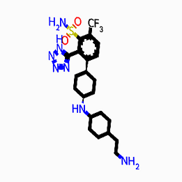 NCCC1CCC(N[C@H]2CC[C@H](c3ccc(C(F)(F)F)c(S(N)(=O)=O)c3-c3nnn[nH]3)CC2)CC1